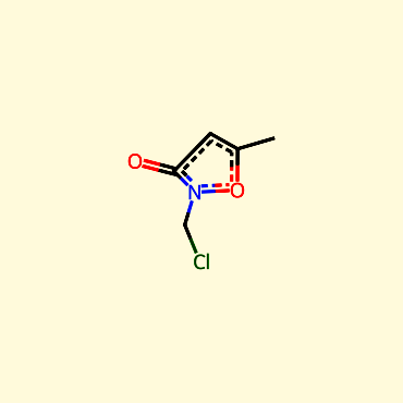 Cc1cc(=O)n(CCl)o1